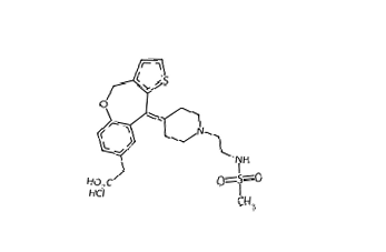 CS(=O)(=O)NCCN1CCC(=C2c3cc(CC(=O)O)ccc3OCc3ccsc32)CC1.Cl